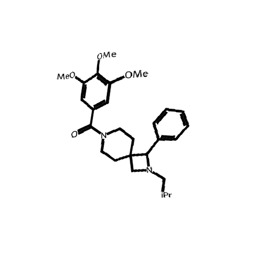 COc1cc(C(=O)N2CCC3(CC2)CN(CC(C)C)C3c2ccccc2)cc(OC)c1OC